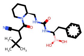 CC(C)(C)CC(C#N)C(=O)N1CCCC[C@H]1CNC(=O)N[C@@H](Cc1ccccc1)B(O)O